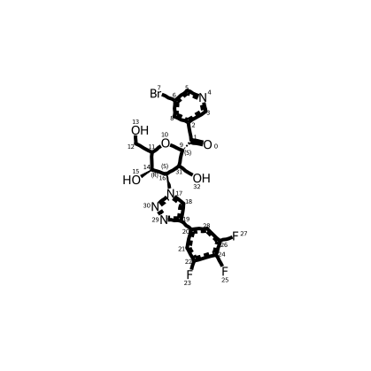 O=C(c1cncc(Br)c1)[C@H]1OC(CO)[C@H](O)[C@H](n2cc(-c3cc(F)c(F)c(F)c3)nn2)C1O